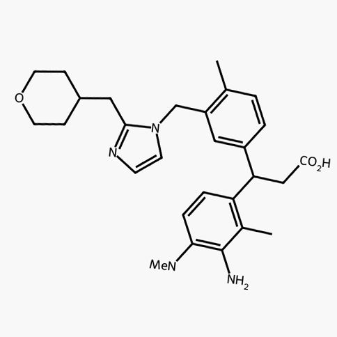 CNc1ccc(C(CC(=O)O)c2ccc(C)c(Cn3ccnc3CC3CCOCC3)c2)c(C)c1N